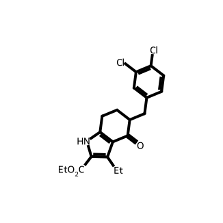 CCOC(=O)c1[nH]c2c(c1CC)C(=O)C(Cc1ccc(Cl)c(Cl)c1)CC2